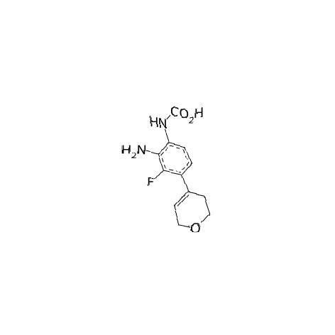 Nc1c(NC(=O)O)ccc(C2=CCOCC2)c1F